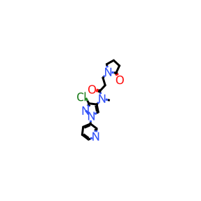 CN(C(=O)CCN1CCCC1=O)c1cn(-c2cccnc2)nc1Cl